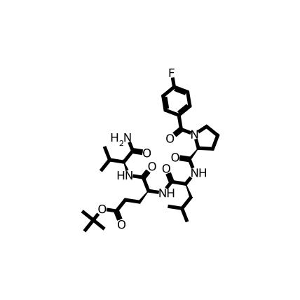 CC(C)C[C@H](NC(=O)[C@@H]1CCCN1C(=O)c1ccc(F)cc1)C(=O)N[C@@H](CCC(=O)OC(C)(C)C)C(=O)N[C@H](C(N)=O)C(C)C